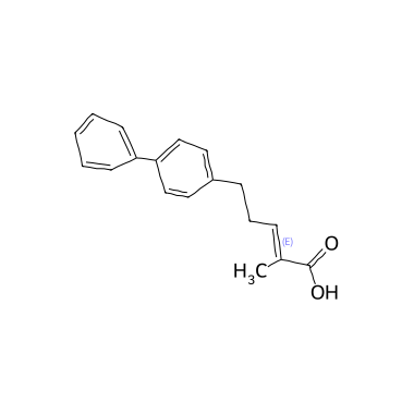 C/C(=C\CCc1ccc(-c2ccccc2)cc1)C(=O)O